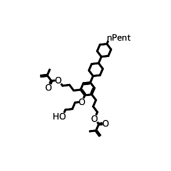 C=C(C)C(=O)OCCCc1cc(C2CCC(C3CCC(CCCCC)CC3)CC2)cc(CCCOC(=O)C(=C)C)c1OCCCO